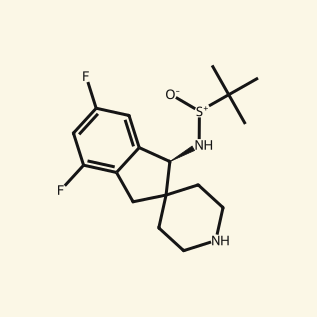 CC(C)(C)[S+]([O-])N[C@@H]1c2cc(F)cc(F)c2CC12CCNCC2